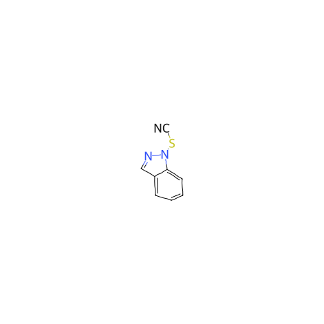 N#CSn1ncc2ccccc21